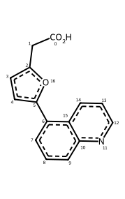 O=C(O)Cc1ccc(-c2cccc3ncccc23)o1